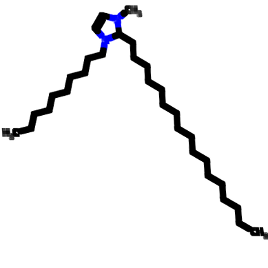 CCCCCCCCCCCCCCCCCC1N(C)C=CN1CCCCCCCCCC